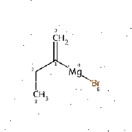 C=[C](CC)[Mg][Br]